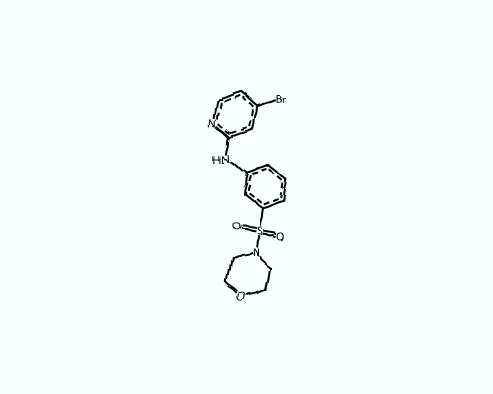 O=S(=O)(c1cccc(Nc2cc(Br)ccn2)c1)N1CCOCC1